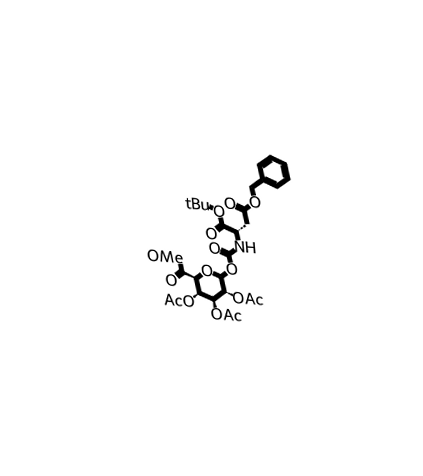 COC(=O)[C@H]1OC(OC(=O)N[C@@H](CC(=O)OCc2ccccc2)C(=O)OC(C)(C)C)[C@H](OC(C)=O)[C@@H](OC(C)=O)[C@@H]1OC(C)=O